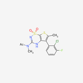 CC(=O)N(C)C1=NS(=O)(=O)c2sc(C)c(-c3cccc(F)c3Cl)c2N1